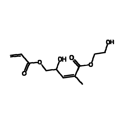 C=CC(=O)OCC(O)C=C(C)C(=O)OCCO